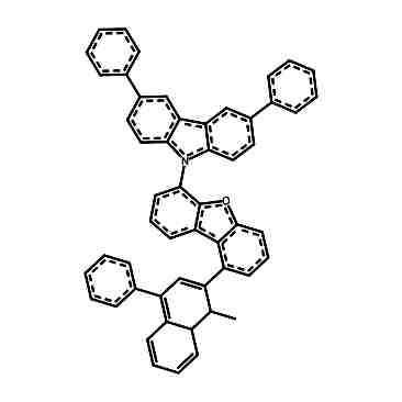 CC1C(c2cccc3oc4c(-n5c6ccc(-c7ccccc7)cc6c6cc(-c7ccccc7)ccc65)cccc4c23)=CC(c2ccccc2)=C2C=CC=CC21